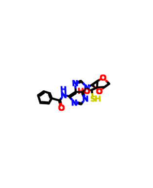 O=C(Nc1ncnc2c1ncn2C1OC2COC1C2C(O)S)c1ccccc1